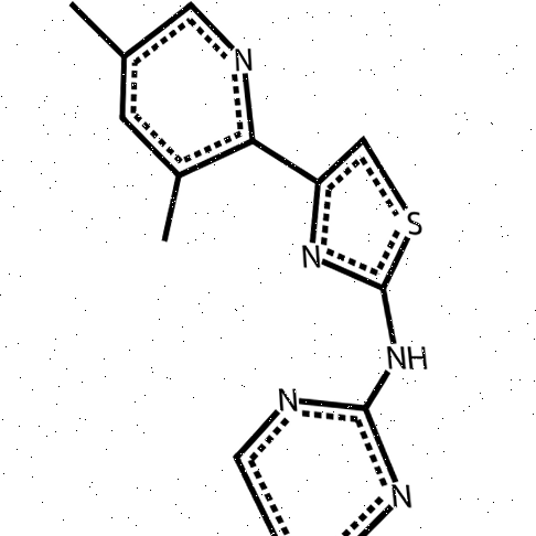 Cc1cnc(-c2csc(Nc3ncccn3)n2)c(C)c1